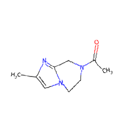 CC(=O)N1CCn2cc(C)nc2C1